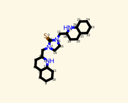 S=C1N(CC2CCC3CCCCC3N2)CCN1CC1CCC2CCCCC2N1